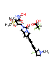 CN1CC[C@@](F)(C#CC#Cc2cc3n(c2)C(=O)N(CCC(C)(C(=O)NO)S(C)(=O)=O)C3)C1.O=C(O)C(F)(F)F